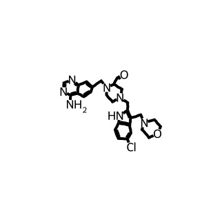 Nc1ncnc2cc(CN3CCN(Cc4[nH]c5ccc(Cl)cc5c4CN4CCOCC4)CC3C=O)ccc12